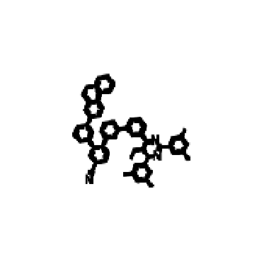 CCC1C(c2cccc(-c3cccc(-c4ccc(C#N)cc4-c4cccc(-c5ccc6c(ccc7ccccc76)c5)c4)c3)c2)=NC(c2cc(C)cc(C)c2)=NC1c1cc(C)cc(C)c1